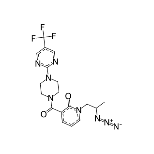 CC(Cn1cccc(C(=O)N2CCN(c3ncc(C(F)(F)F)cn3)CC2)c1=O)N=[N+]=[N-]